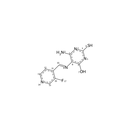 Nc1nc(S)nc(O)c1N=Cc1ccncc1F